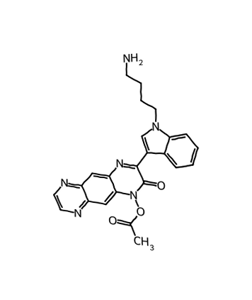 CC(=O)On1c(=O)c(-c2cn(CCCCN)c3ccccc23)nc2cc3nccnc3cc21